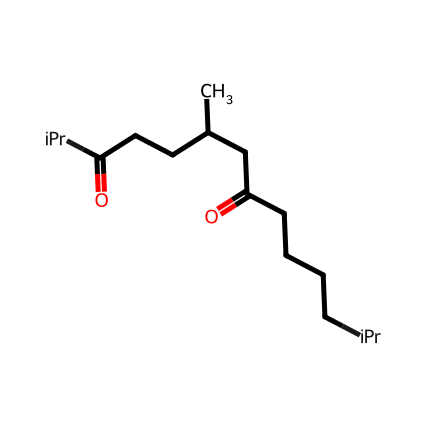 CC(C)CCCCC(=O)CC(C)CCC(=O)C(C)C